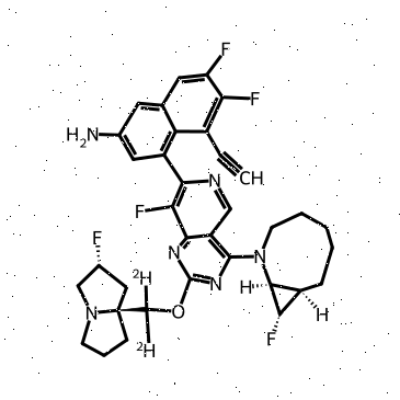 [2H]C([2H])(Oc1nc(N2CCCCC[C@H]3[C@H](F)[C@H]32)c2cnc(-c3cc(N)cc4cc(F)c(F)c(C#C)c34)c(F)c2n1)[C@@]12CCCN1C[C@H](F)C2